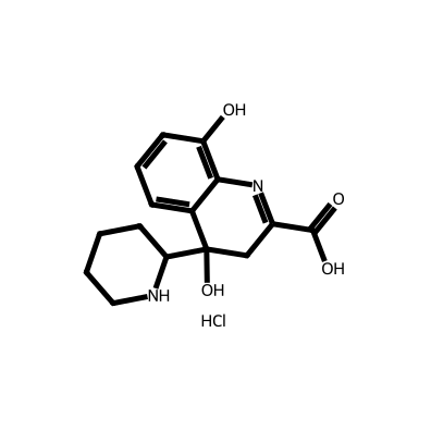 Cl.O=C(O)C1=Nc2c(O)cccc2C(O)(C2CCCCN2)C1